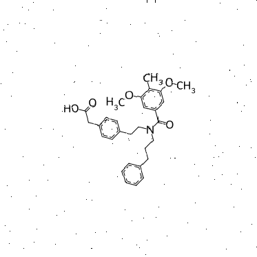 COc1cc(C(=O)N(CCCc2ccccc2)CCc2ccc(CC(=O)O)cc2)cc(OC)c1C